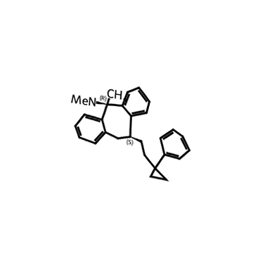 CN[C@]1(C)c2ccccc2C[C@H](CCC2(c3ccccc3)CC2)c2ccccc21